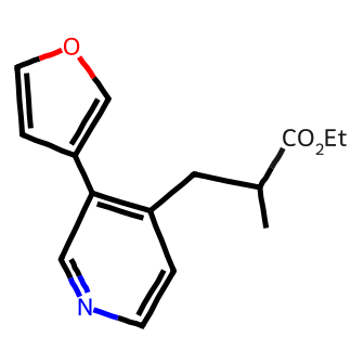 CCOC(=O)C(C)Cc1ccncc1-c1ccoc1